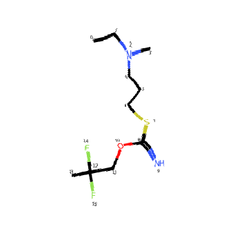 CCN(C)CCCSC(=N)OCC(C)(F)F